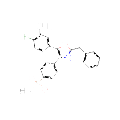 Cc1cc(-c2oc(Cc3ccccc3)nc2-c2ccc(S(C)(=O)=O)cc2)ccc1F